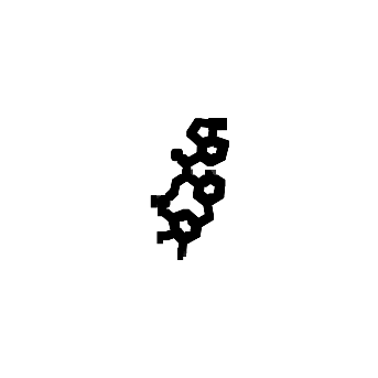 O=C(c1cccc2c1CCN2)N(CCO)c1cc(Cc2cc(F)c(F)c(F)c2)ccn1